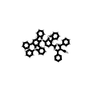 N#Cc1c(-c2ccccc2)nc(-c2ccc(-n3c4ccccc4c4cc(-c5ccccc5)c5c(c6ccccc6n5-c5ccccc5)c43)c3oc4ccccc4c23)nc1-c1ccccc1